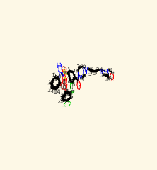 O=C(c1ccc(S(=O)(=O)Nc2ccccc2Oc2ccc(Cl)cc2Cl)cc1)N1CCCN(CCCN2CCOCC2)CC1